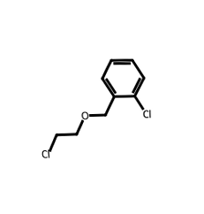 ClCCOCc1ccccc1Cl